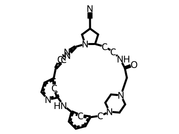 N#CC1CC2CCNC(=O)CN3CCN(CC3)Cc3cccc(c3)Nc3cc(ccn3)-c3cnc(nc3)N2C1